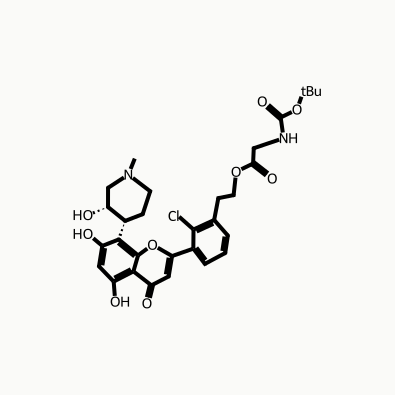 CN1CC[C@H](c2c(O)cc(O)c3c(=O)cc(-c4cccc(CCOC(=O)CNC(=O)OC(C)(C)C)c4Cl)oc23)[C@H](O)C1